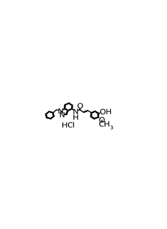 COc1ccc(C=CC(=O)Nc2cccc3c2cnn3Cc2ccccc2)cc1O.Cl